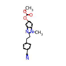 COC(=O)Oc1ccc2c(c1)nc(CCc1ccc(C#N)cc1)n2C